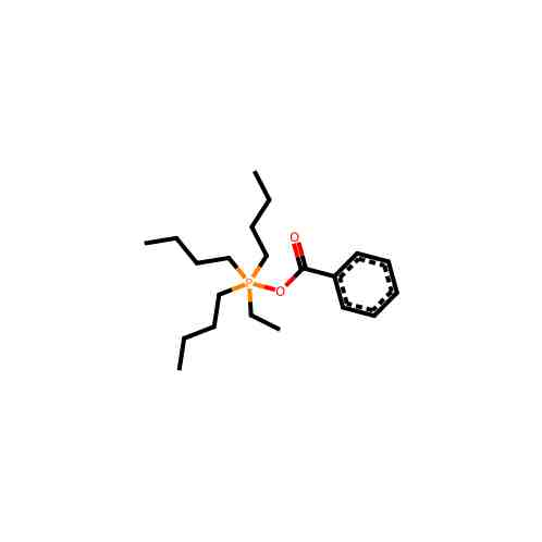 CCCCP(CC)(CCCC)(CCCC)OC(=O)c1ccccc1